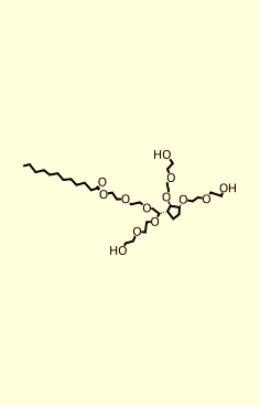 CCCCCCCCCCCC(=O)OCCOCCOCC(OCCOCCO)[C@H]1CC[C@@H](OCCOCCO)[C@@H]1OCCOCCO